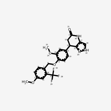 COc1ccc(COc2ccc(C3CC(=O)Nc4c[nH]nc43)cc2OC)c(C(F)(F)F)c1